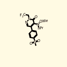 CCCN(OC)c1c(-c2ccc(S(C)(=O)=O)cc2)cnn(CC(F)(F)F)c1=O